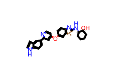 O[C@@H]1CCCC[C@H]1Nc1nc2ccc(Oc3ccnc(-c4ccc5[nH]ccc5c4)c3)cc2s1